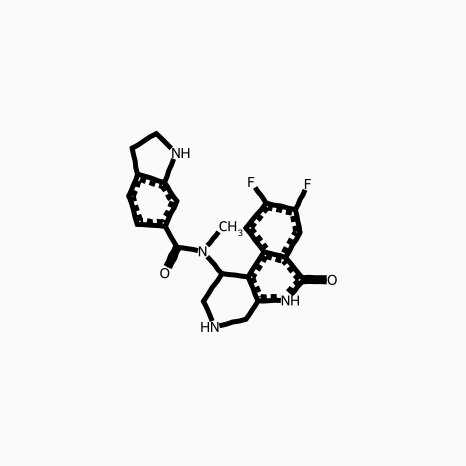 CN(C(=O)c1ccc2c(c1)NCC2)C1CNCc2[nH]c(=O)c3cc(F)c(F)cc3c21